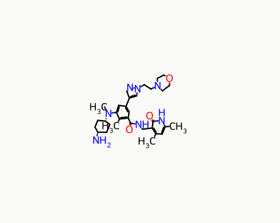 Cc1cc(C)c(CNC(=O)c2cc(-c3cnn(CCN4CCOCC4)c3)cc(N(C)[C@H]3CC[C@H](N)CC3)c2C)c(=O)[nH]1